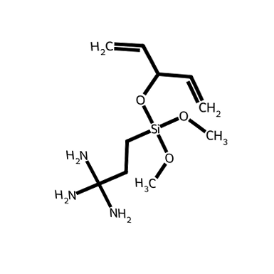 C=CC(C=C)O[Si](CCC(N)(N)N)(OC)OC